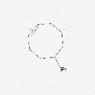 [CH2]C(C)C1CC/C=C\CCC1